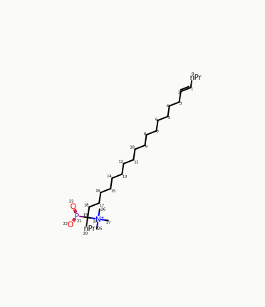 CCCC=CCCCCCCCCCCCCCCCCC(CCC)(P(=O)=O)[N+](C)(C)C